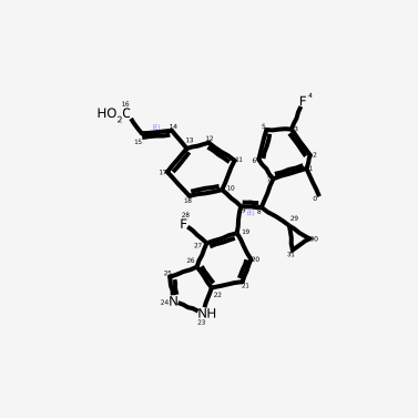 Cc1cc(F)ccc1/C(=C(\c1ccc(/C=C/C(=O)O)cc1)c1ccc2[nH]ncc2c1F)C1CC1